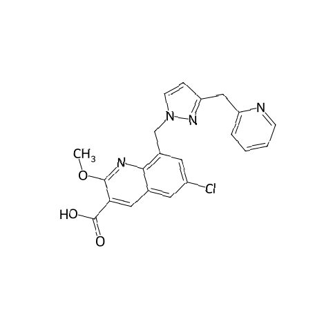 COc1nc2c(Cn3ccc(Cc4ccccn4)n3)cc(Cl)cc2cc1C(=O)O